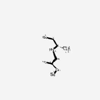 CC(C)(C)C[C@@H](NCC(=O)OC(C)(C)C)C(=O)O